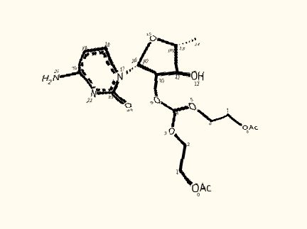 CC(=O)OCCOC(OCCOC(C)=O)OC1C(O)[C@@H](C)O[C@H]1n1ccc(N)nc1=O